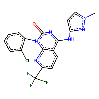 Cn1ccc(Nc2nc(=O)n(-c3ccccc3Cl)c3nc(C(F)(F)F)ccc23)n1